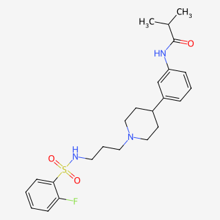 CC(C)C(=O)Nc1cccc(C2CCN(CCCNS(=O)(=O)c3ccccc3F)CC2)c1